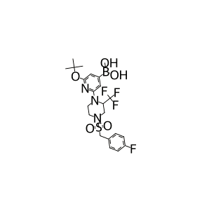 CC(C)(C)Oc1cc(B(O)O)cc(N2CCN(S(=O)(=O)Cc3ccc(F)cc3)CC2C(F)(F)F)n1